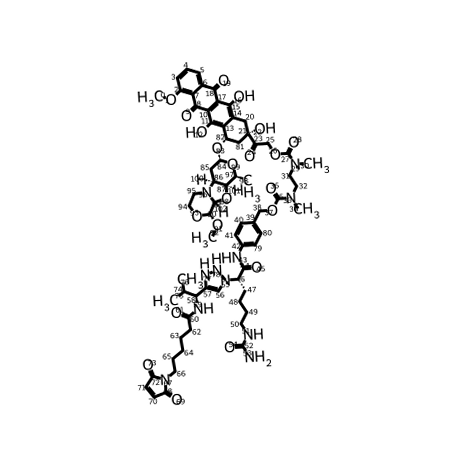 COc1cccc2c1C(=O)c1c(O)c3c(c(O)c1C2=O)C[C@@](O)(C(=O)COC(=O)N(C)CCN(C)C(=O)OCc1ccc(NC(=O)[C@H](CCCCNC(N)=O)N2C=C([C@@H](NC(=O)CCCCCN4C(=O)C=CC4=O)C(C)C)NN2)cc1)C[C@@H]3O[C@H]1C[C@H]2[C@H](O[C@@H]3[C@@H](OC)OCCN32)[C@H](C)O1